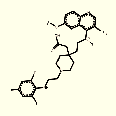 COc1ccc2ncc(C)c([C@H](F)CCC3(CC(=O)O)CCN(CCNc4c(F)cc(F)cc4F)CC3)c2c1